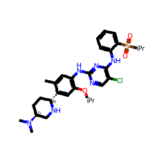 Cc1cc(Nc2ncc(Cl)c(Nc3ccccc3S(=O)(=O)C(C)C)n2)c(OC(C)C)cc1[C@H]1CC[C@H](N(C)C)CN1